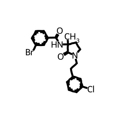 CC1(NC(=O)c2cccc(Br)c2)CCN(CCc2cccc(Cl)c2)C1=O